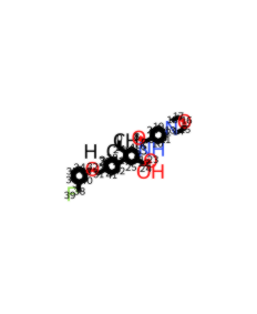 CC(C)c1cc(NC(=O)c2ccc(N3CCOCC3)cc2)c(C(=O)O)cc1-c1ccc(COc2cccc(CF)c2)cc1